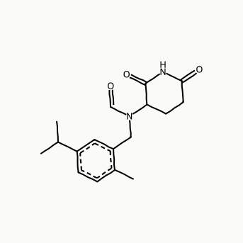 Cc1ccc(C(C)C)cc1CN(C=O)C1CCC(=O)NC1=O